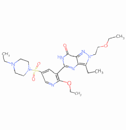 CCOCCn1nc2c(=O)[nH]c(-c3cc(S(=O)(=O)N4CCN(CC)CC4)cnc3OCC)nc2c1CC